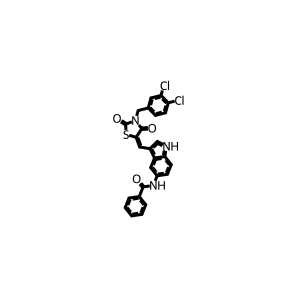 O=C(Nc1ccc2[nH]cc(C=C3SC(=O)N(Cc4ccc(Cl)c(Cl)c4)C3=O)c2c1)c1ccccc1